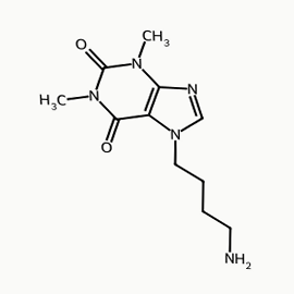 Cn1c(=O)c2c(ncn2CCCCN)n(C)c1=O